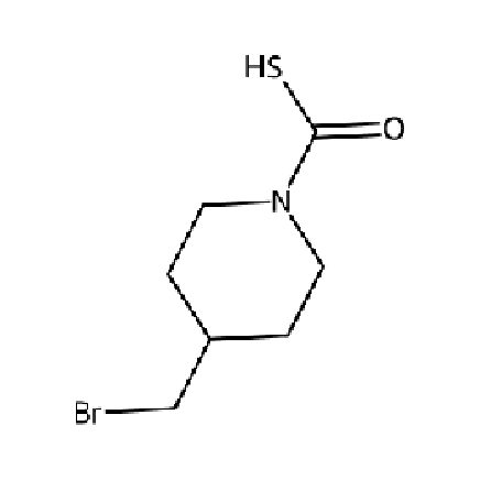 O=C(S)N1CCC(CBr)CC1